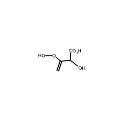 C=C(OO)C(O)C(=O)O